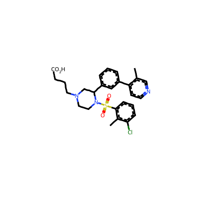 Cc1cnccc1-c1cccc(C2CN(CCCC(=O)O)CCN2S(=O)(=O)c2cccc(Cl)c2C)c1